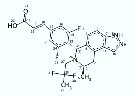 C[C@@H]1Cc2c(ccc3[nH]ncc23)[C@@H](c2c(F)cc(/C=C/C(=O)O)cc2F)N1CC(C)(F)F